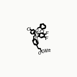 COC(=O)CCc1ccc(CC2(c3ccc(Cl)cc3OCc3ccccc3Cl)Nc3cc(F)c(F)cc3N2)cc1